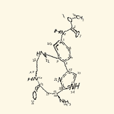 COC(=O)Nc1ccc2c(c1)NCCNC(=O)C[C@H](N)c1nc-2c[nH]1